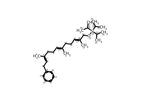 C/C(=C\CC/C(C)=C/Cc1ccccc1)CC/C=C(\C)CO[Si](C(C)C)(C(C)C)C(C)C